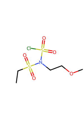 CCS(=O)(=O)N(CCOC)S(=O)(=O)Cl